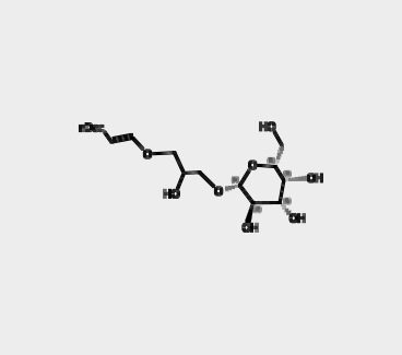 CCCCCCCCCCC=COCC(O)CO[C@@H]1O[C@H](CO)[C@H](O)[C@H](O)[C@H]1O